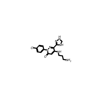 NCCCNc1cc(=O)n(-c2ccc(Cl)cc2)nc1C1=NNCN1